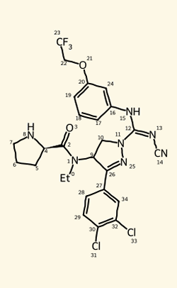 CCN(C(=O)[C@H]1CCCN1)C1CN(/C(=N\C#N)Nc2cccc(OCC(F)(F)F)c2)N=C1c1ccc(Cl)c(Cl)c1